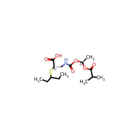 CCC(CC)S[C@@H](CNC(=O)O[C@@H](C)OC(=O)C(C)C)C(=O)O